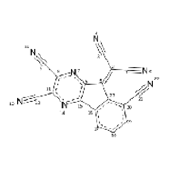 N#CC(C#N)=C1c2nc(C#N)c(C#N)nc2-c2cccc(C#N)c21